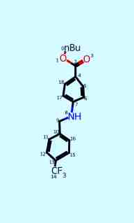 CCCCOC(=O)c1ccc(NCc2ccc(C(F)(F)F)cc2)cc1